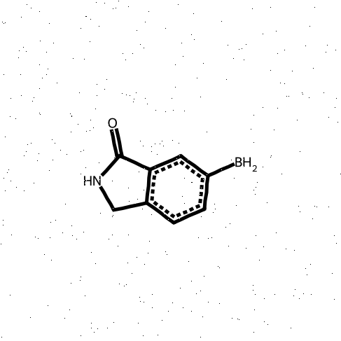 Bc1ccc2c(c1)C(=O)NC2